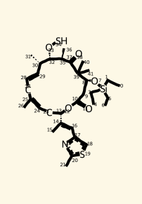 CC[Si](CC)(CC)O[C@H]1CC(=O)O[C@H](/C(C)=C/c2csc(C)n2)C/C=C(/C)C/C=C/[C@H](C)[C@H](OS)[C@@H](C)C(=O)C1(C)C